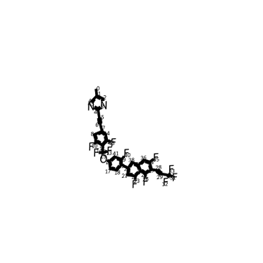 Cc1cnc(C#Cc2cc(F)c(C(F)(F)Oc3ccc(-c4cc(F)c5c(F)c(C#CC(F)(F)F)c(F)cc5c4)c(F)c3)c(F)c2)nc1